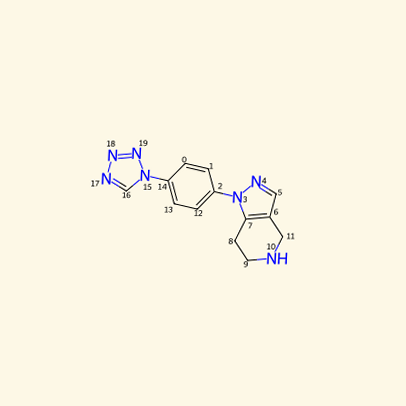 c1cc(-n2ncc3c2CCNC3)ccc1-n1cnnn1